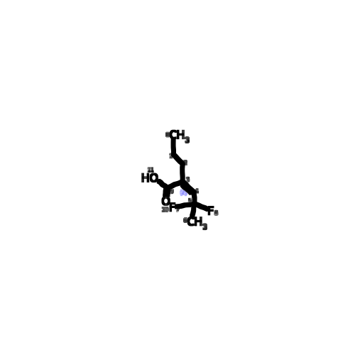 CCC/C(=C/C(C)(F)F)C(=O)O